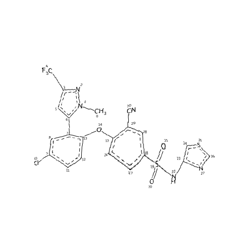 Cn1nc(C(F)(F)F)cc1-c1cc(Cl)ccc1Oc1ccc(S(=O)(=O)Nc2cscn2)cc1C#N